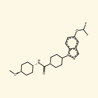 CO[C@H]1CC[C@H](NC(=O)N2CCC(n3ncc4cc(OC(F)F)ccc43)CC2)CC1